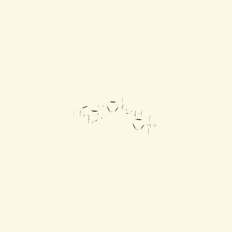 O=C(Nc1ccc(Oc2ncnc3[nH]ccc23)cc1)Nc1cccc(C(F)(F)F)c1